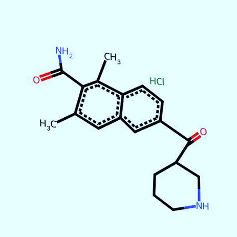 Cc1cc2cc(C(=O)C3CCCNC3)ccc2c(C)c1C(N)=O.Cl